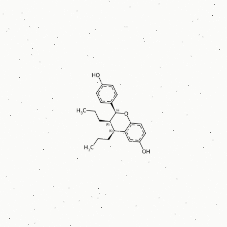 CCC[C@@H]1[C@H](CCC)c2cc(O)ccc2O[C@@H]1c1ccc(O)cc1